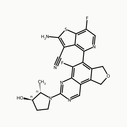 C[C@H]1[C@H](O)CCN1c1ncc2c3c(c(-c4ncc(F)c5sc(N)c(C#N)c45)c(F)c2n1)COC3